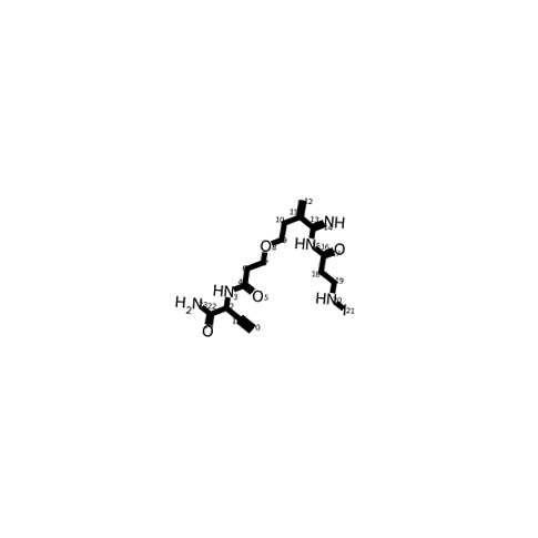 C#CC(NC(=O)CCOCCC(=C)C(=N)NC(=O)CCNI)C(N)=O